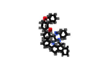 CC1(C)c2ccccc2-c2ccc3c4ccccc4n(-c4nc5ccccc5nc4-c4cccc5c4oc4c5ccc5oc6ccccc6c54)c3c21